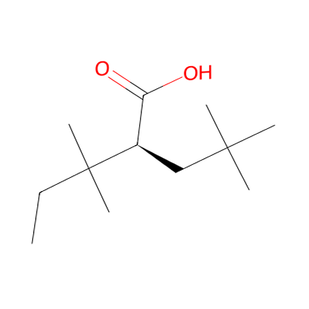 CCC(C)(C)[C@H](CC(C)(C)C)C(=O)O